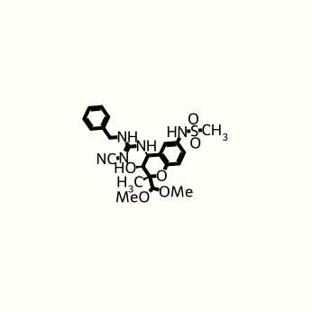 COC(OC)[C@@]1(C)Oc2ccc(NS(C)(=O)=O)cc2[C@@H](NC(=NC#N)NCc2ccccc2)[C@@H]1O